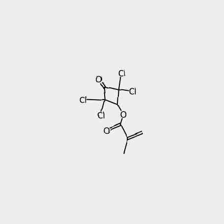 C=C(C)C(=O)OC1C(Cl)(Cl)C(=O)C1(Cl)Cl